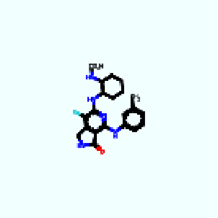 Cc1cccc(Nc2nc(NC3CCCCC3NC(=O)O)c(F)c3c2C(=O)NC3)c1